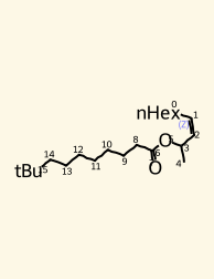 CCCCCC/C=C\C(C)OC(=O)CCCCCCCC(C)(C)C